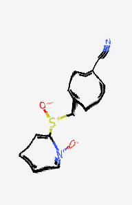 N#Cc1ccc(C[S+]([O-])c2cccc[n+]2[O-])cc1